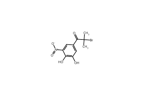 CC(C)(Br)C(=O)c1cc(O)c(O)c([N+](=O)[O-])c1